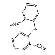 O=C(O)c1ccccc1[I+]c1ccccc1C(=O)O